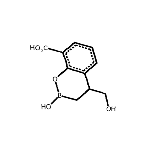 O=C(O)c1cccc2c1OB(O)CC2CO